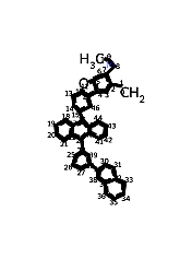 C=Cc1cc2c(cc1/C=C\C)oc1ccc(-c3c4ccccc4c(-c4cccc(-c5ccc6ccccc6c5)c4)c4ccccc34)cc12